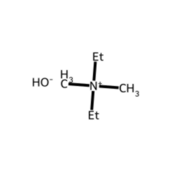 CC[N+](C)(C)CC.[OH-]